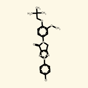 COc1cc(N2Cc3nn(-c4ccc(Cl)cc4)nc3C2=O)ccc1OCC(C)(C)C